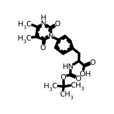 Cc1[nH]c(=O)n(-c2ccc(CC(NC(=O)OC(C)(C)C)C(=O)O)cc2)c(=O)c1C